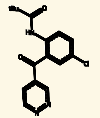 CC(C)(C)C(=O)Nc1ccc(Cl)cc1C(=O)c1ccnnc1